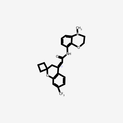 CN1CCOc2c(NC(=O)/C=C3\CC4(CCC4)Oc4cc(C(F)(F)F)ccc43)cccc21